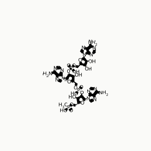 CP(=O)(O)OC[C@H]1O[C@@H](n2cnc3c(N)ncnc32)[C@H](OP(=O)(O)OC[C@H]2O[C@@H](n3cnc4c(N)ncnc43)[C@H](OP(=O)(O)OC[C@H]3O[C@@H](n4cnc5c(N)ncnc54)[C@H](O)[C@@H]3O)[C@@H]2O)[C@@H]1O